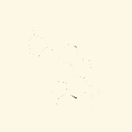 CN1CC[C@H](c2c(O)cc(O)c3c(=O)cc(-c4cc(F)ccc4Br)oc23)[C@H]1COS(C)(=O)=O